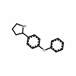 c1ccc(Oc2ccc(C3CCCN3)cc2)cc1